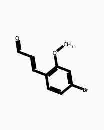 COc1cc(Br)ccc1C=CC=O